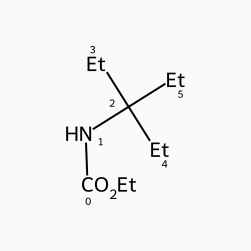 CCOC(=O)NC(CC)(CC)CC